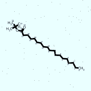 CCCCCCCCCCCCCCCCCCC(=O)OC(C)(C)C